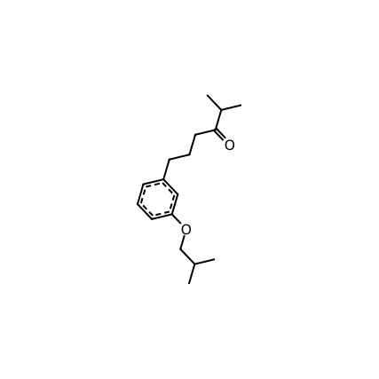 CC(C)COc1cccc(CCCC(=O)C(C)C)c1